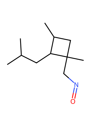 CC(C)CC1C(C)CC1(C)CN=O